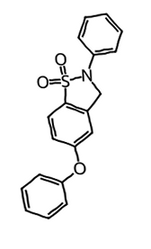 O=S1(=O)c2ccc(Oc3ccccc3)cc2CN1c1ccccc1